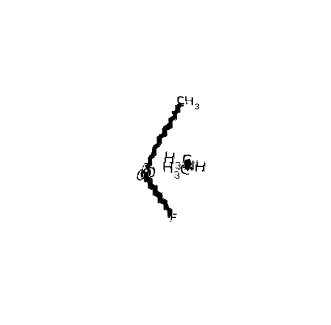 CCCCCCCCCCCCCCCCOS(=O)(=O)CCCCCCCCCCCF.CNC